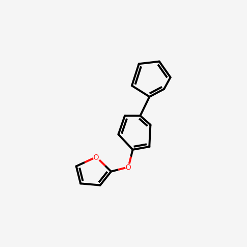 c1ccc(-c2ccc(Oc3ccco3)cc2)cc1